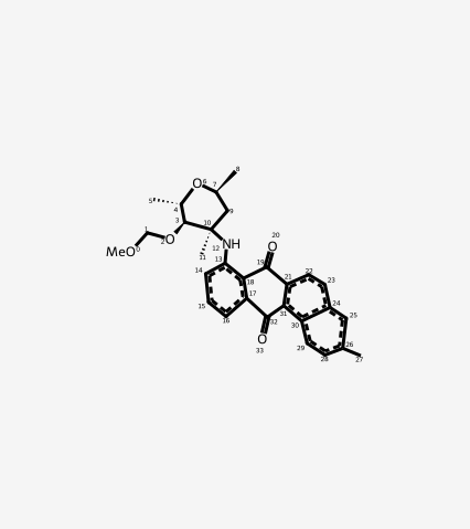 COCO[C@H]1[C@H](C)O[C@@H](C)C[C@@]1(C)Nc1cccc2c1C(=O)c1ccc3cc(C)ccc3c1C2=O